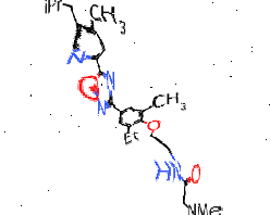 CCc1cc(-c2noc(-c3cc(C)c(CC(C)C)cn3)n2)cc(C)c1OCCNC(=O)CNC